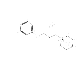 [Br-].c1ccc(OCCC[N+]23CCC(CC2)CC3)cc1